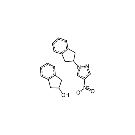 O=[N+]([O-])c1cnn(C2Cc3ccccc3C2)c1.OC1Cc2ccccc2C1